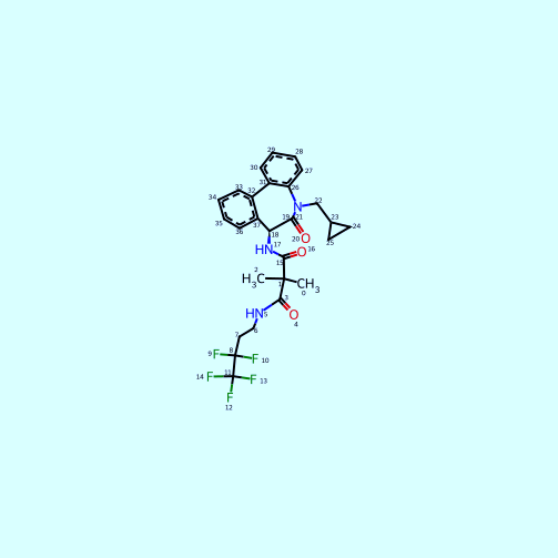 CC(C)(C(=O)NCCC(F)(F)C(F)(F)F)C(=O)N[C@@H]1C(=O)N(CC2CC2)c2ccccc2-c2ccccc21